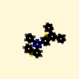 c1ccc(-c2cc(-c3ccccc3)c3sc4cc(-c5nc(-c6ccccc6)nc(-c6cccc7sc8ccccc8c67)n5)ccc4c3c2)cc1